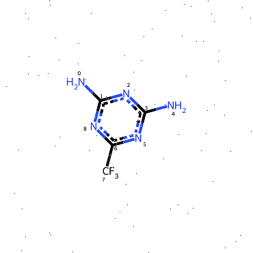 Nc1nc(N)nc(C(F)(F)F)n1